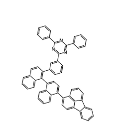 c1ccc(-c2nc(-c3ccccc3)nc(-c3cccc(-c4ccc5ccccc5c4-c4ccc(-c5ccc6c7c(cccc57)-c5ccccc5-6)c5ccccc45)c3)n2)cc1